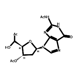 CC(=O)Nc1nc2c(ncn2[C@H]2C[C@H](OC(C)=O)[C@@H](C(O)C(C)=O)O2)c(=O)[nH]1